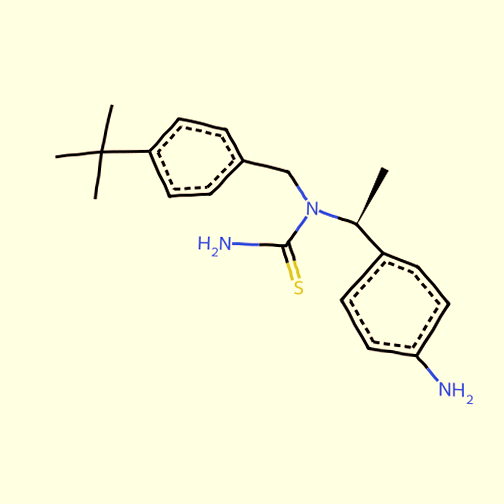 C[C@@H](c1ccc(N)cc1)N(Cc1ccc(C(C)(C)C)cc1)C(N)=S